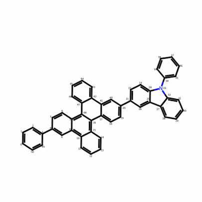 c1ccc(-c2ccc3c(c2)c2ccccc2c2c4ccc(-c5ccc6c(c5)c5ccccc5n6-c5ccccc5)cc4c4ccccc4c32)cc1